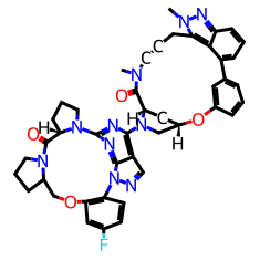 CN1CCCc2c3c(cccc3nn2C)-c2cccc(c2)O[C@H]2C[C@@H](C1=O)N(c1nc3nc4c1cnn4-c1ccc(F)cc1OCC1CCCN1C(=O)[C@@H]1CCCN31)C2